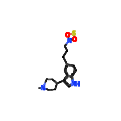 CN1CCC(c2c[nH]c3ccc(CCCN4OSO4)cc23)CC1